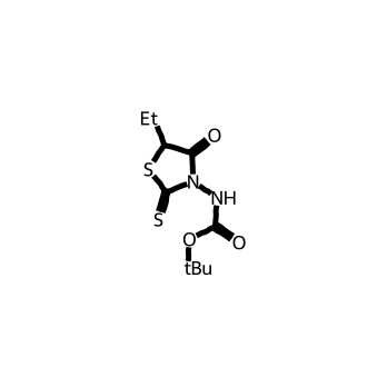 CCC1SC(=S)N(NC(=O)OC(C)(C)C)C1=O